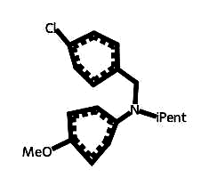 CCCC(C)N(Cc1ccc(Cl)cc1)c1ccc(OC)cc1